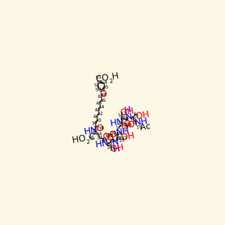 CC(=O)CNC(=O)[C@H](CO)NC(=O)[C@H](CO)NC(=O)CNC(=O)[C@H](CO)NC(=O)[C@H](CO)NC(=O)CCC(NC(=O)CCCCCCCCCOc1ccc(C(=O)O)cc1)C(=O)O